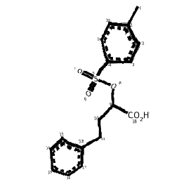 Cc1ccc(S(=O)(=O)OC(CCc2ccccc2)C(=O)O)cc1